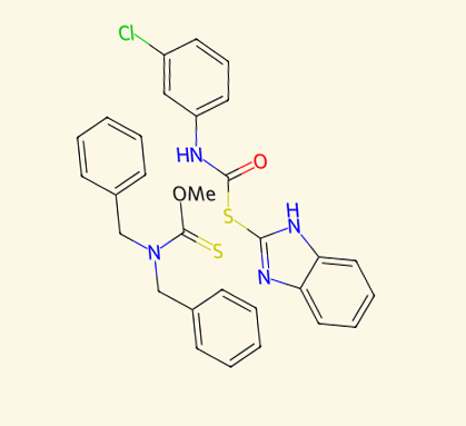 COC(=S)N(Cc1ccccc1)Cc1ccccc1.O=C(Nc1cccc(Cl)c1)Sc1nc2ccccc2[nH]1